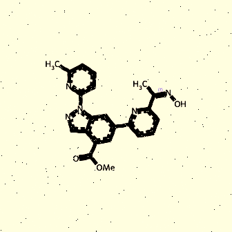 COC(=O)c1cc(-c2cccc(/C(C)=N\O)n2)cc2c1cnn2-c1cccc(C)n1